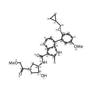 COCC(=O)N1C[C@@H](O)[C@H](NC(=O)c2c(C)[nH]c3c(-c4cc(OC)ccc4OCC4CC4)ccnc23)C1